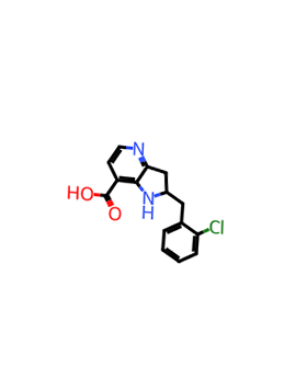 O=C(O)c1ccnc2c1NC(Cc1ccccc1Cl)C2